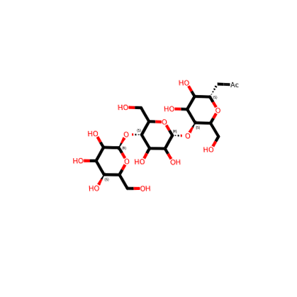 CC(=O)C[C@@H]1OC(CO)[C@@H](O[C@H]2OC(CO)[C@@H](O[C@H]3OC(CO)[C@@H](O)C(O)C3O)C(O)C2O)C(O)C1O